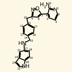 Nc1ncccc1-c1cc(Cc2ccc(CNc3ccc4[nH]ccc4c3)cc2)no1